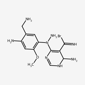 COc1cc(N)c(CN)cc1N(N)C1=C(C(=N)Br)C(N)NC=N1